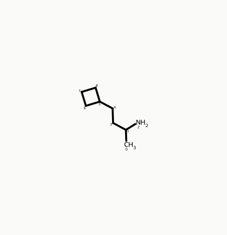 CC(N)CCC1CCC1